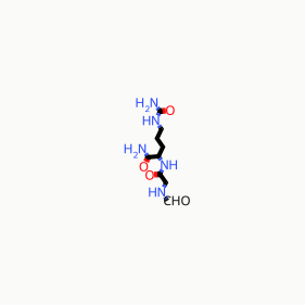 NC(=O)NCCCC(NC(=O)CNC=O)C(N)=O